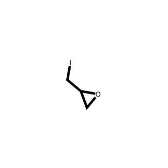 ICC1CO1